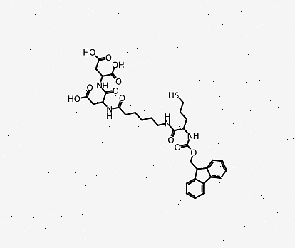 O=C(O)CC(NC(=O)C(CC(=O)O)NC(=O)CCCCCNC(=O)C(CCCS)NC(=O)OCC1c2ccccc2-c2ccccc21)C(=O)O